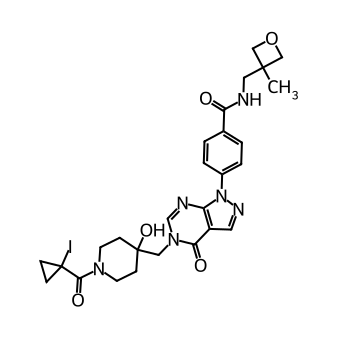 CC1(CNC(=O)c2ccc(-n3ncc4c(=O)n(CC5(O)CCN(C(=O)C6(I)CC6)CC5)cnc43)cc2)COC1